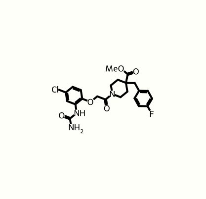 COC(=O)C1(Cc2ccc(F)cc2)CCN(C(=O)COc2ccc(Cl)cc2NC(N)=O)CC1